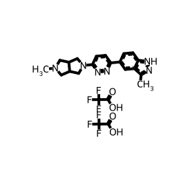 Cc1n[nH]c2ccc(-c3ccc(N4CC5CN(C)CC5C4)nn3)cc12.O=C(O)C(F)(F)F.O=C(O)C(F)(F)F